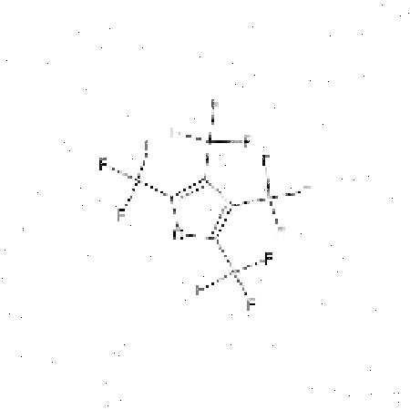 FC(F)(F)c1oc(C(F)(F)F)c(C(F)(F)F)c1C(F)(F)F